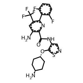 Nc1cc(C(F)(F)F)c(-c2c(F)cccc2F)nc1C(=O)Nc1cnsc1O[C@H]1CC[C@H](N)CC1